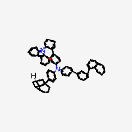 c1cc(-c2ccc(N(c3ccc(-c4ccccc4-n4c5ccccc5c5ccccc54)cc3)c3ccc(C45CCC6CC47C6C[C@H]7C5)cc3)cc2)cc(-c2cccc3ccccc23)c1